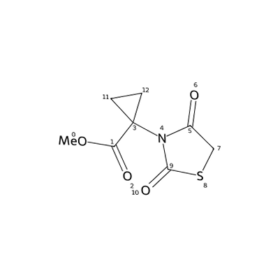 COC(=O)C1(N2C(=O)CSC2=O)CC1